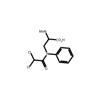 CNC(CN(C(=O)C(Cl)Cl)c1ccccc1)C(=O)O